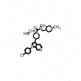 CN1CCC(CN(C)C(=O)N2CCC(c3cn(-c4ccc(Cl)cc4)c4cnccc34)CC2)CC1.O=CO